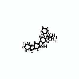 CC1(C)c2ccccc2-c2cc3c(cc21)[nH]c1cc2sc4ccccc4c2cc13